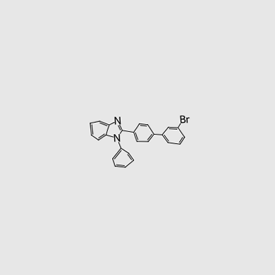 Brc1cccc(-c2ccc(-c3nc4ccccc4n3-c3ccccc3)cc2)c1